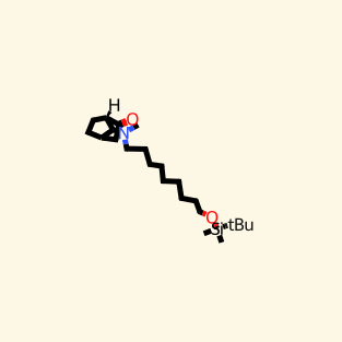 CN(CCCCCCCCCO[Si](C)(C)C(C)(C)C)C1C2CC[C@@H]1C(=O)C2